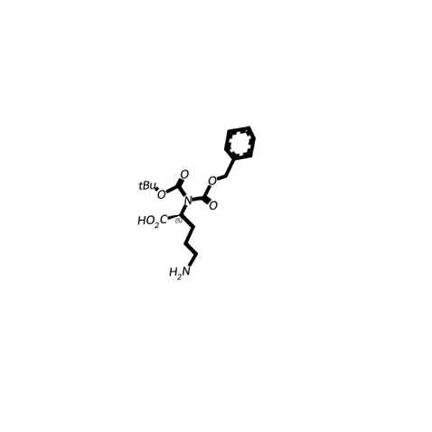 CC(C)(C)OC(=O)N(C(=O)OCc1ccccc1)[C@@H](CCCN)C(=O)O